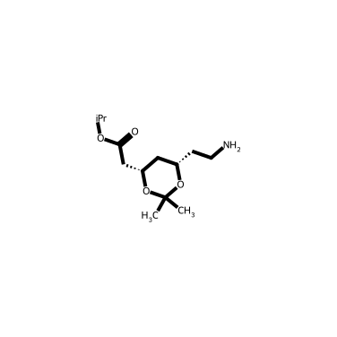 CC(C)OC(=O)C[C@@H]1C[C@H](CCN)OC(C)(C)O1